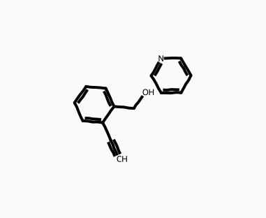 C#Cc1ccccc1CO.c1ccncc1